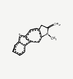 C=C1Cc2cc3sc4ccccc4c3cc2N1C